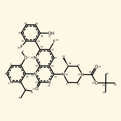 COc1ccnc(C(C)C)c1-n1c(=O)nc(N2CCN(C(=O)OC(C)(C)C)C[C@@H]2C)c2cc(F)c(-c3c(O)cccc3F)nc21